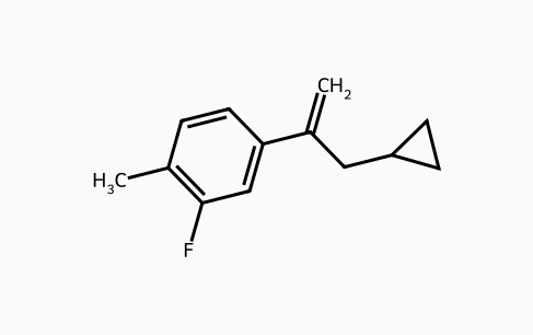 C=C(CC1CC1)c1ccc(C)c(F)c1